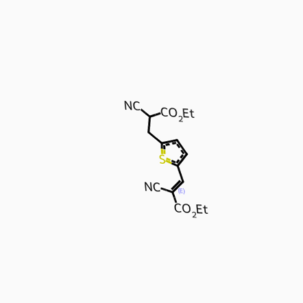 CCOC(=O)/C(C#N)=C/c1ccc(CC(C#N)C(=O)OCC)s1